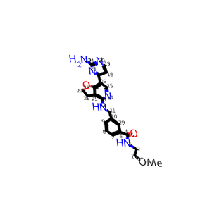 COCCNC(=O)c1cccc(CNc2ncc(-c3ccnc(N)n3)c3c2CCO3)c1